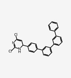 ClC1=CC(c2ccc(-c3cccc(-c4cccc(-c5ccccc5)c4)c3)cc2)NC(Cl)=N1